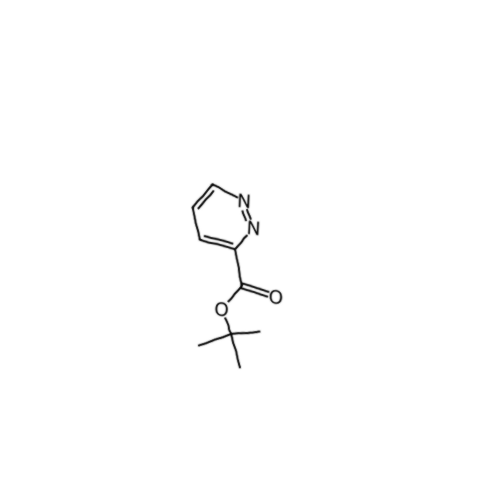 CC(C)(C)OC(=O)c1cccnn1